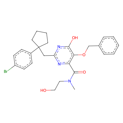 CN(CCO)C(=O)c1nc(CC2(c3ccc(Br)cc3)CCCC2)nc(O)c1OCc1ccccc1